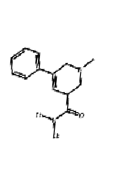 CCN(CC)C(=O)C1C=C(c2ccccc2)CN(C)C1